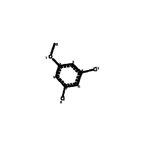 COc1[c]c(Cl)cc(Cl)c1